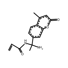 C=CC(=O)NC(C)(N)c1ccc2c(C)cc(=O)oc2c1